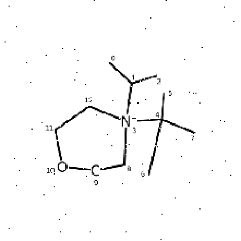 CC(C)[N+]1(C(C)(C)C)CCOCC1